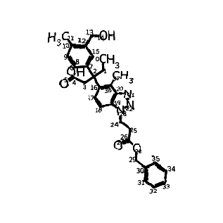 CCC(CC(=O)O)(c1ccc(C)c(CO)c1)c1ccc2c(nnn2CCC(=O)OCc2ccccc2)c1C